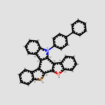 c1ccc(-c2ccc(-n3c4ccccc4c4c5c6ccccc6sc5c5oc6ccccc6c5c43)cc2)cc1